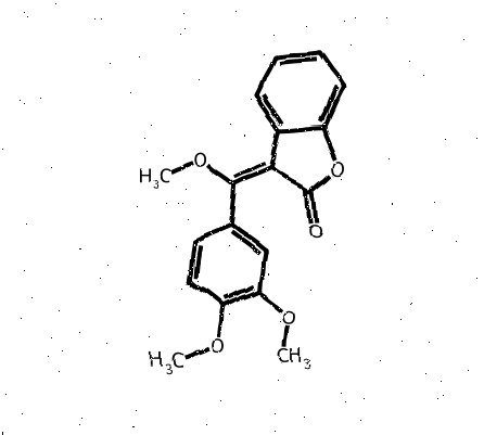 COC(=C1C(=O)Oc2ccccc21)c1ccc(OC)c(OC)c1